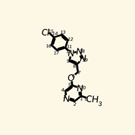 Cc1cncc(OCc2cn(-c3ccc(Cl)cc3)nn2)n1